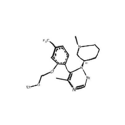 CCOCOc1cc(C(F)(F)F)ccc1C1=C(C)N=CNN1[C@@H]1CCCN(C)C1